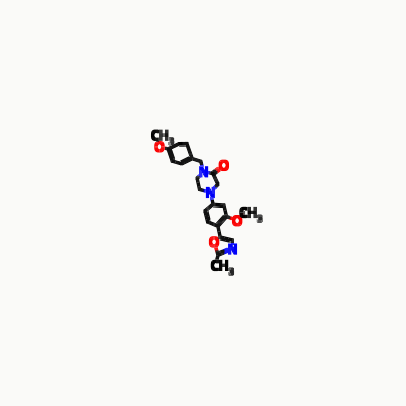 COc1ccc(CN2CCN(c3ccc(-c4cnc(C)o4)c(OC)c3)CC2=O)cc1